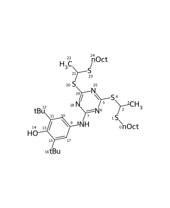 CCCCCCCCSC(C)Sc1nc(Nc2cc(C(C)(C)C)c(O)c(C(C)(C)C)c2)nc(SC(C)SCCCCCCCC)n1